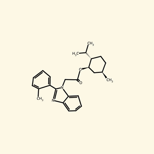 Cc1ccccc1-c1nc2ccccc2n1CC(=O)O[C@@H]1C[C@H](C)CC[C@H]1C(C)C